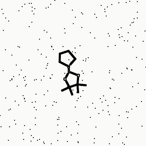 CC1(C)OB(N2CCCC2)OC1(C)C